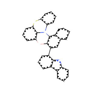 B1c2cccc3c2N(c2ccccc2S3)c2c1c(-c1cccc3c1[nH]c1ccccc13)cc1ccccc21